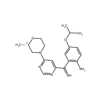 CC(C)Oc1ccc(N)c(C(=N)c2cc(N3CCO[C@@H](C)C3)ncn2)c1